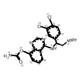 CNCC(Nc1ncnc2c(OC(N)=O)cccc12)c1ccc(Cl)c(Cl)c1